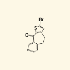 O=C1c2ccccc2CCc2cc(Br)sc21